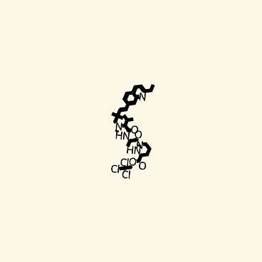 CCc1ccc2ccc(/C=C/C(C)(C)CN(C)C(C(=O)NC(C)C(=O)N3CCCC(C(=O)OCC(Cl)(Cl)Cl)N3)C(C)C)cc2n1